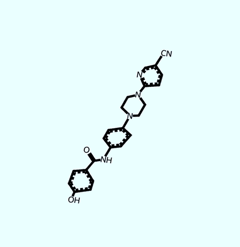 N#Cc1ccc(N2CCN(c3ccc(NC(=O)c4ccc(O)cc4)cc3)CC2)nc1